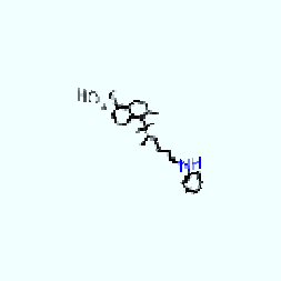 C=C(C=CC=CNc1ccccc1)C(C)(C)c1c(C)ccc2c(S(=O)(=O)O)cccc12